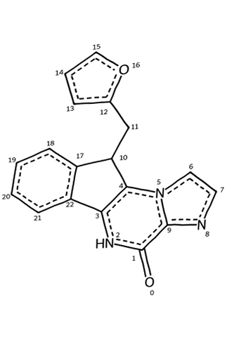 O=c1[nH]c2c(n3ccnc13)C(Cc1ccco1)c1ccccc1-2